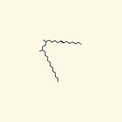 [CH2]CCCCC/C=C/CCCCC(C)CCC(C)CCCCCCCCCCC[CH2]